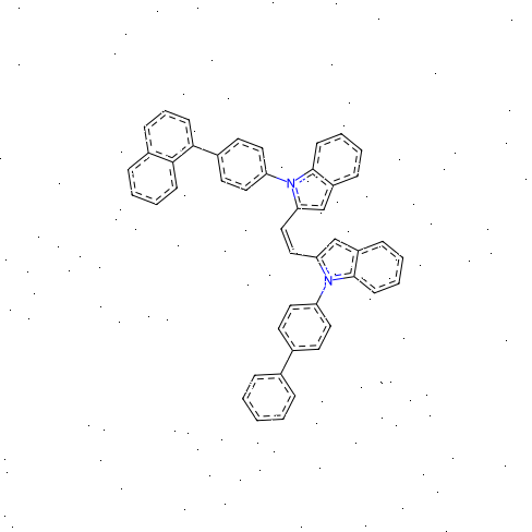 C(=C/c1cc2ccccc2n1-c1ccc(-c2cccc3ccccc23)cc1)/c1cc2ccccc2n1-c1ccc(-c2ccccc2)cc1